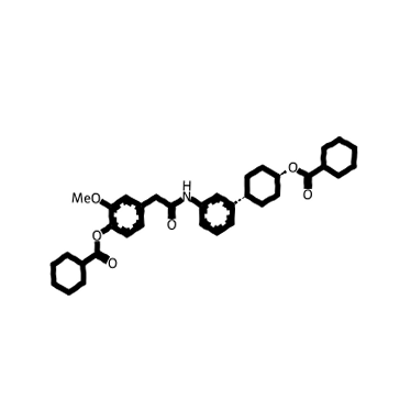 COc1cc(CC(=O)Nc2cccc([C@H]3CC[C@@H](OC(=O)C4CCCCC4)CC3)c2)ccc1OC(=O)C1CCCCC1